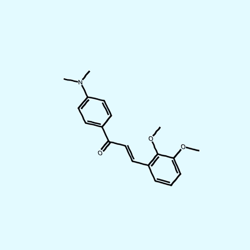 COc1cccc(C=CC(=O)c2ccc(N(C)C)cc2)c1OC